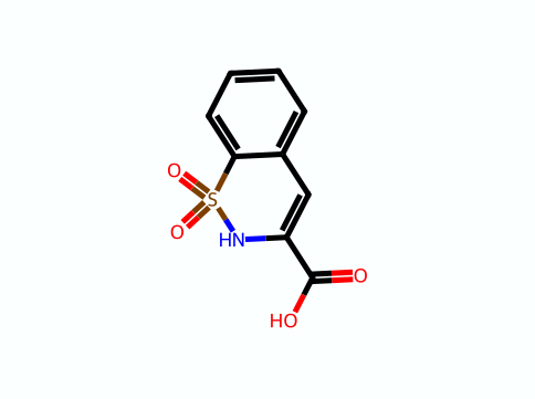 O=C(O)C1=Cc2ccccc2S(=O)(=O)N1